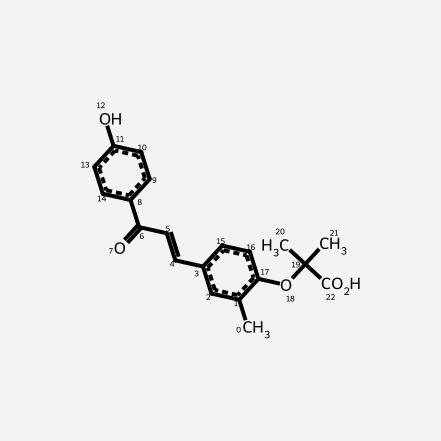 Cc1cc(C=CC(=O)c2ccc(O)cc2)ccc1OC(C)(C)C(=O)O